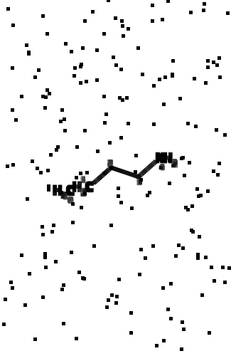 C.CCCN